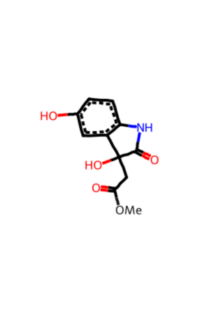 COC(=O)CC1(O)C(=O)Nc2ccc(O)cc21